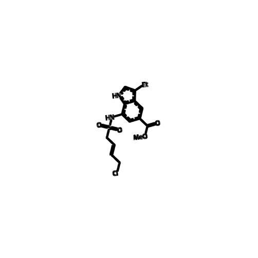 CCc1c[nH]c2c(NS(=O)(=O)CC=CCCl)cc(C(=O)OC)cc12